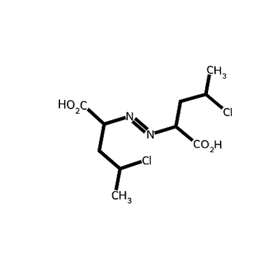 CC(Cl)CC(N=NC(CC(C)Cl)C(=O)O)C(=O)O